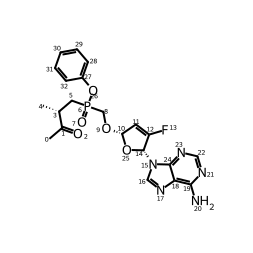 CC(=O)[C@H](C)CP(=O)(CO[C@@H]1C=C(F)[C@H](n2cnc3c(N)ncnc32)O1)Oc1ccccc1